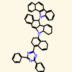 C1=CC2C=Cc3c(n(C4c5ccccc5C=C5C4C4C=CCCC4N5C4=C5CCC=CC5=C(c5nc(-c6ccccc6)nc(-c6ccccc6)n5)CC4)c4ccccc34)C2C=C1